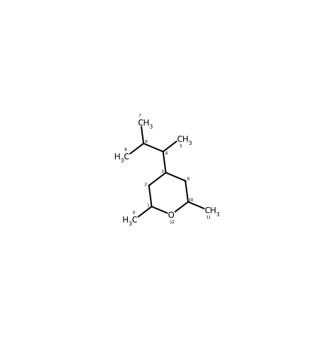 CC1CC(C(C)C(C)C)CC(C)O1